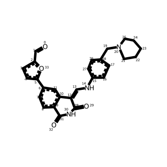 O=Cc1ccc(-c2ccc3c(c2)C(=CNc2ccc(CN4CCCCC4)cc2)C(=O)NC3=O)o1